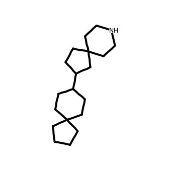 C1CCC2(C1)CCC(C1CCC3(CCNCC3)C1)CC2